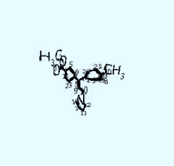 COC(=O)c1ccc(C(=CCN2CCCC2)c2ccc(C)cc2)cc1